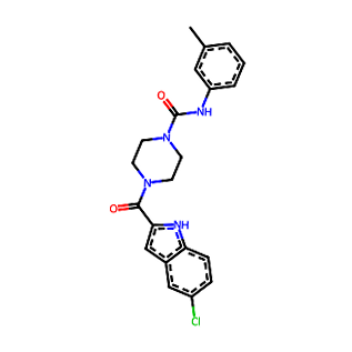 Cc1cccc(NC(=O)N2CCN(C(=O)c3cc4cc(Cl)ccc4[nH]3)CC2)c1